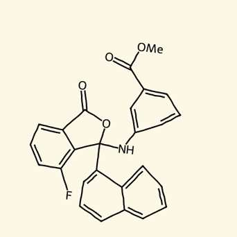 COC(=O)c1cccc(NC2(c3cccc4ccccc34)OC(=O)c3cccc(F)c32)c1